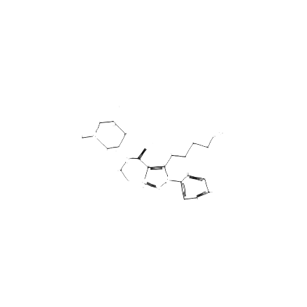 COCCCCc1c(C(=O)N(CC(C)C)[C@H]2C[C@@H](C(=O)O)CN(C)C2)nnn1-c1ccccc1.Cl